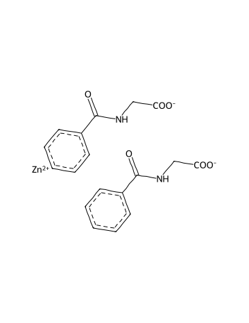 O=C([O-])CNC(=O)c1ccccc1.O=C([O-])CNC(=O)c1ccccc1.[Zn+2]